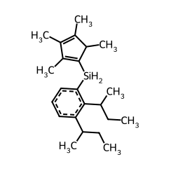 CCC(C)c1cccc([SiH2]C2=C(C)C(C)=C(C)C2C)c1C(C)CC